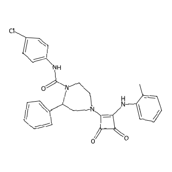 Cc1ccccc1Nc1c(N2CCN(C(=O)Nc3ccc(Cl)cc3)C(c3ccccc3)C2)c(=O)c1=O